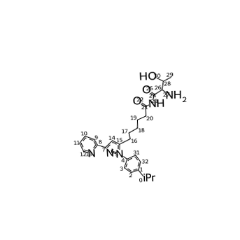 CC(C)c1ccc(-n2nc(-c3ccccn3)cc2CCCCCC(=O)NC(=O)C(N)C(C)O)cc1